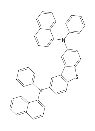 c1ccc(N(c2ccc3sc4ccc(N(c5ccccc5)c5cccc6ccccc56)cc4c3c2)c2cccc3ccccc23)cc1